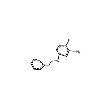 Nc1cc(SCCc2ccccc2)ccc1F